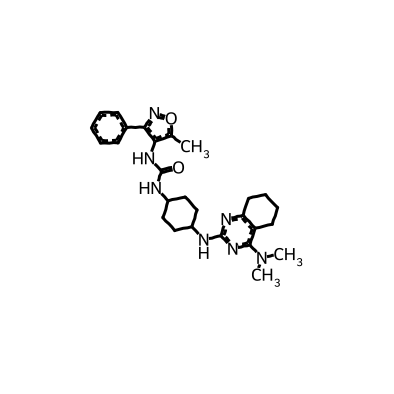 Cc1onc(-c2ccccc2)c1NC(=O)NC1CCC(Nc2nc3c(c(N(C)C)n2)CCCC3)CC1